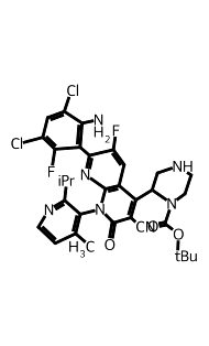 Cc1ccnc(C(C)C)c1-n1c(=O)c(C#N)c(C2CNCCN2C(=O)OC(C)(C)C)c2cc(F)c(-c3c(N)c(Cl)cc(Cl)c3F)nc21